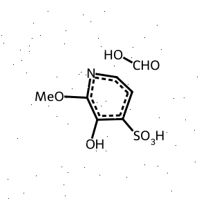 COc1nccc(S(=O)(=O)O)c1O.O=CO